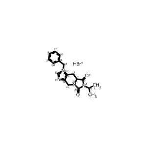 Br.CC(C)N1C(=O)C2Cc3c(ncn3Cc3ccccc3)CN2C1=O